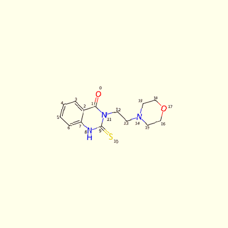 O=c1c2ccccc2[nH]c(=S)n1CCN1CCOCC1